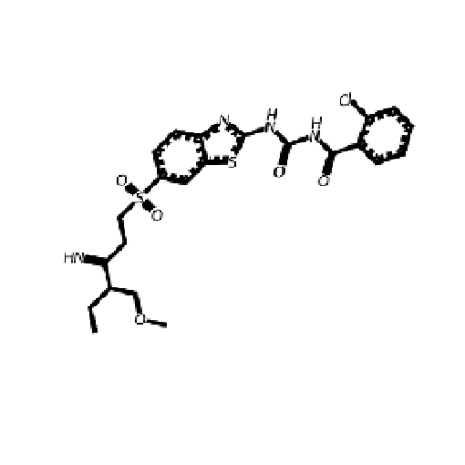 CCC(COC)C(=N)CCS(=O)(=O)c1ccc2nc(NC(=O)NC(=O)c3ccccc3Cl)sc2c1